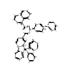 C1=CC2c3ccccc3C(c3ccccc3)(c3ccccc3)C2C=C1c1nc(-c2ccc(-c3ccccc3)cc2)nc(-c2cccc3ccccc23)n1